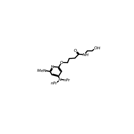 CCCN(CCC)c1cc(NC)nc(OCCCC(=O)NCCO)c1